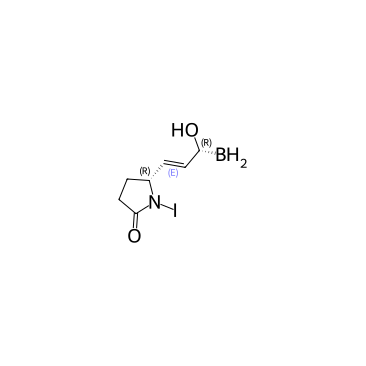 B[C@@H](O)/C=C/[C@H]1CCC(=O)N1I